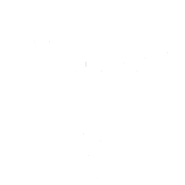 CCCCCCCCC[Si](Cl)(CCCCCCCCC)CCCCCCCCC